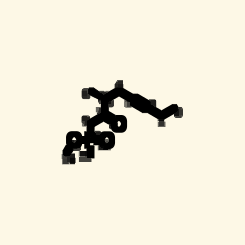 CCC#CC[C@H](C)C(=O)CP(C)(=O)OC